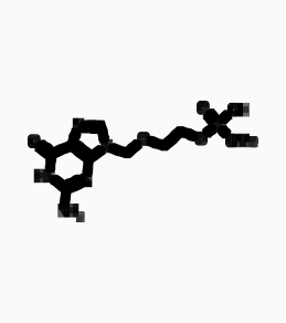 COP(=O)(O)OCCOCn1cnc2c(=O)[nH]c(N)nc21